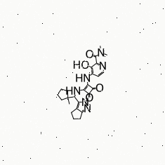 CN(C)C(=O)c1nccc(Nc2c(N[C@@H](c3c4c(nn3C)CCC4)C3(C)CCCC3)c(=O)c2=O)c1O